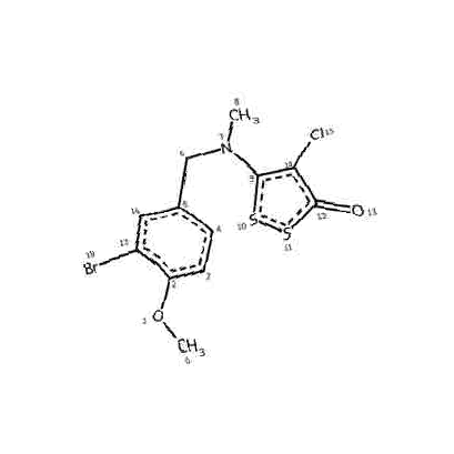 COc1ccc(CN(C)c2ssc(=O)c2Cl)cc1Br